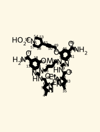 CCn1nc(C)cc1C(=O)Nc1nc2cc(C(N)=O)cc(OC)c2n1C/C=C/Cn1c(NC(=O)c2cc(C)nn2CC)nc2cc(C(N)=O)cc(OCC#CC3CCN(C(=O)O)CC3)c21